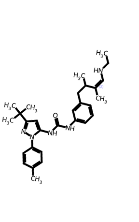 CCN/C=C(/C)C(C)Cc1cccc(NC(=O)Nc2cc(C(C)(C)C)nn2-c2ccc(C)cc2)c1